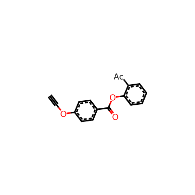 C#COc1ccc(C(=O)Oc2ccccc2C(C)=O)cc1